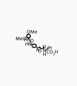 COc1ccc(NC(=O)Nc2ccc(-c3cc(C(=O)N[C@H](C(=O)O)C(C)C)on3)cc2)c(OC)c1